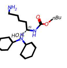 C1CCC(NC2CCCCC2)CC1.CCCCOC(=O)N[C@@H](CCCCN)C(=O)O